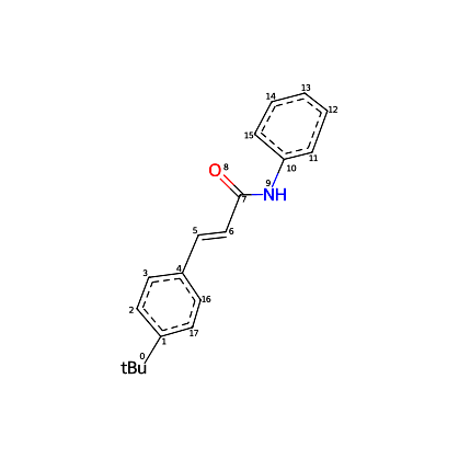 CC(C)(C)c1ccc(C=CC(=O)Nc2ccccc2)cc1